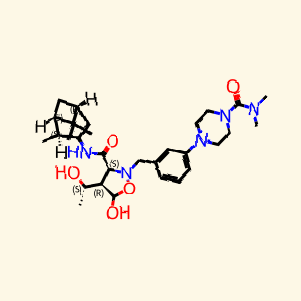 C[C@H](O)[C@@H]1C(O)ON(Cc2cccc(N3CCN(C(=O)N(C)C)CC3)c2)[C@@H]1C(=O)NC1C[C@H]2C[C@@H]([C@@H]1C)C2(C)C